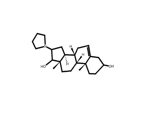 C[C@]12CCC(O)CC1=CC[C@@H]1[C@H]2CC[C@]2(C)C(O)C(N3CCCC3)C[C@@H]12